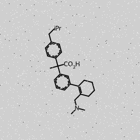 CC(C)Cc1ccc(C(C)(C(=O)O)c2cccc(C3=C(CN(C)C)CCCC3)c2)cc1